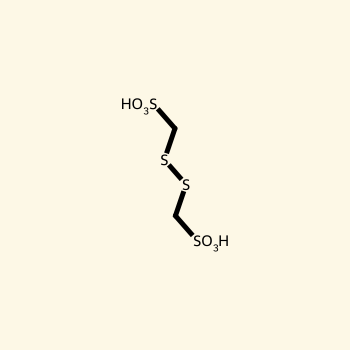 O=S(=O)(O)CSSCS(=O)(=O)O